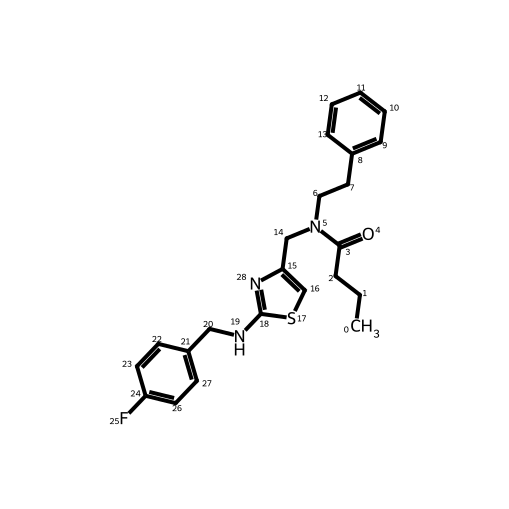 CCCC(=O)N(CCc1ccccc1)Cc1csc(NCc2ccc(F)cc2)n1